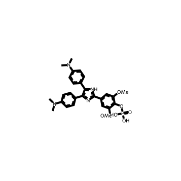 COc1cc(-c2nc(-c3ccc(N(C)C)cc3)c(-c3ccc(N(C)C)cc3)[nH]2)cc(OC)c1OP(=O)(O)O